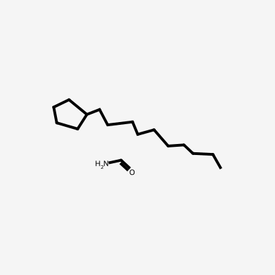 CCCCCCCCCCC1CCCC1.NC=O